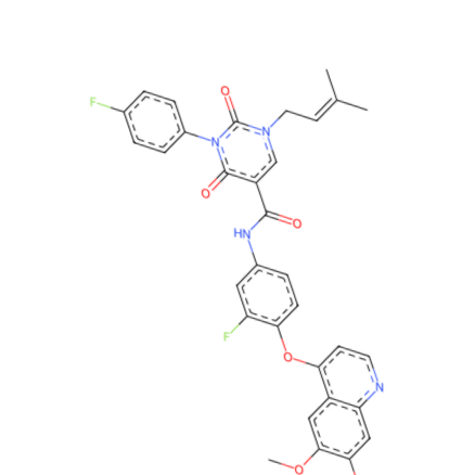 COc1cc2nccc(Oc3ccc(NC(=O)c4cn(CC=C(C)C)c(=O)n(-c5ccc(F)cc5)c4=O)cc3F)c2cc1OC